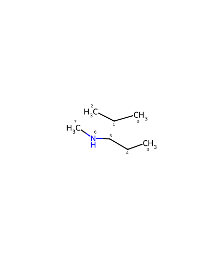 CCC.CCCNC